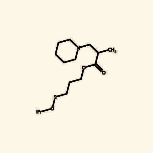 CC(C)OSCCCOC(=O)C(C)CN1CCCCC1